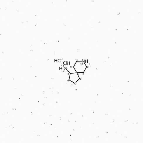 Cl.Cl.N[C@@H]1CCCC12CCNCC2